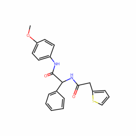 COc1ccc(NC(=O)C(NC(=O)Cc2cccs2)c2ccccc2)cc1